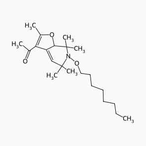 CCCCCCCCON1C(C)(C)C=C2C(C(C)=O)=C(C)OC2C1(C)C